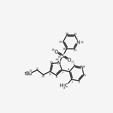 Cc1ccncc1-c1cc(CCC(C)(C)C)cn1S(=O)(=O)c1cccnc1